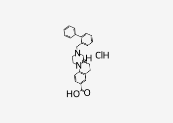 Cl.O=C(O)c1ccc2c(c1)CC[C@H]1CN(Cc3ccccc3-c3ccccc3)CCN21